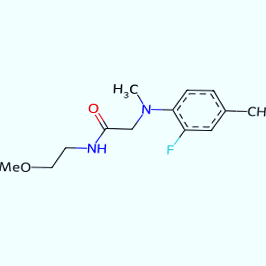 COCCNC(=O)CN(C)c1ccc(C=O)cc1F